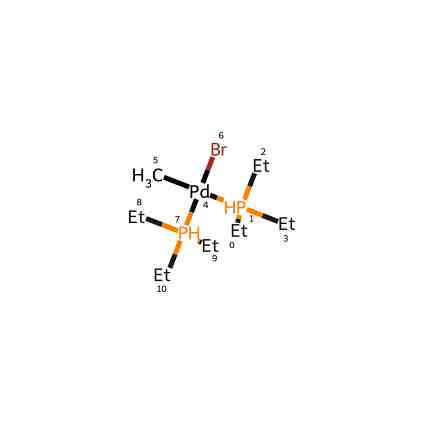 CC[PH](CC)(CC)[Pd]([CH3])([Br])[PH](CC)(CC)CC